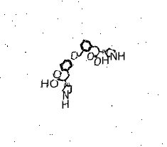 O=C(O)C(Cc1cccc(COc2cccc(CC(C(=O)O)[C@H]3CCNC3)c2)c1)[C@H]1CCNC1